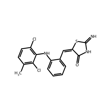 Cc1ccc(Cl)c(Nc2ccccc2/C=C2/SC(=N)NC2=O)c1Cl